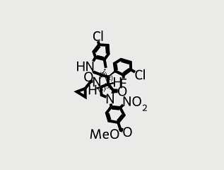 COC(=O)c1ccc(N2C[C@H]3[C@@H](C2=O)[C@H](c2cccc(Cl)c2F)[C@@]2(Cc4ccc(Cl)cc4NC2=O)N3CC2CC2)c([N+](=O)[O-])c1